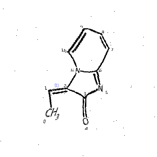 C/C=C1\C(=O)N=C2C=CC=CN21